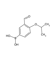 CC(C)Oc1ccc(B(O)O)cc1C=O